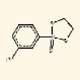 CC(C)c1cccc(P2(=S)SCCS2)c1